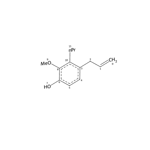 C=CCc1ccc(O)c(OC)c1CCC